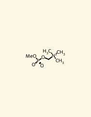 COP(=O)([O-])OC[N+](C)(C)C